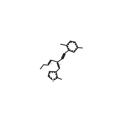 CC/C=C/C(C#Cc1cc(C)ccc1C)=C\c1ccsc1C